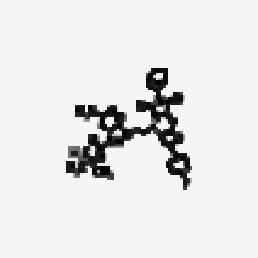 CC(C)(C)OC(=O)NC(CC(N)=O)C(=O)OCCCc1cc(-c2ccc(F)cc2)oc1C=C1SC(=S)N(C2CC3CCC2C3)C1=O